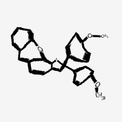 COc1ccc(C2(c3ccc(OC)cc3)C=c3ccc4c(c3S2)Oc2ccccc2C=4)cc1